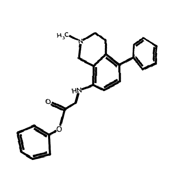 CN1CCc2c(-c3ccccc3)ccc(NCC(=O)Oc3ccccc3)c2C1